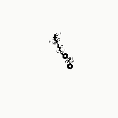 CC(C)(CO)[C@@H](O)C(=O)NCCC(=O)C(=O)NCc1ccc(NC(=O)Nc2ccccc2)cc1